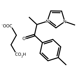 Cc1ccc(C(=O)C(C)[n+]2ccn(C)c2)cc1.O=C([O-])CCC(=O)O